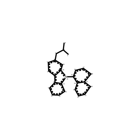 CC(C)Cc1ccc2c3ccccc3n(-c3cccc4ccccc34)c2c1